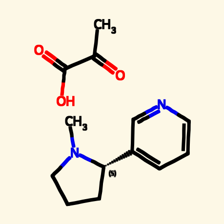 CC(=O)C(=O)O.CN1CCC[C@H]1c1cccnc1